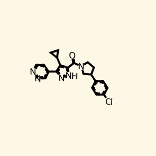 O=C(c1[nH]nc(-c2ccnnc2)c1C1CC1)N1CCC(c2ccc(Cl)cc2)C1